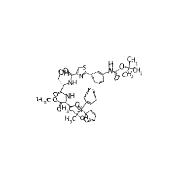 COC(=O)[C@H](CO[Si](c1ccccc1)(c1ccccc1)C(C)(C)C)NC(=O)[C@H](CO)NC(=O)c1csc(-c2cccc(NC(=O)OC(C)(C)C)c2)n1